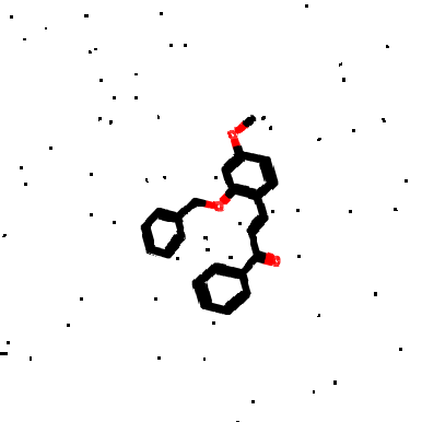 COc1ccc(C=CC(=O)c2ccccc2)c(OCc2ccccc2)c1